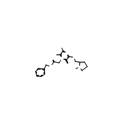 Cc1c(Cl)nc(NC[C@@]2(C(C)(C)C)CCCN2C(=O)O)c(=O)n1CC(=O)OCc1ccccc1